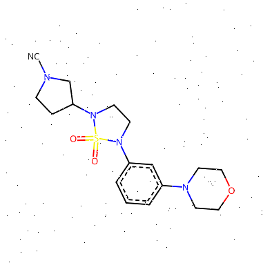 N#CN1CCC(N2CCN(c3cccc(N4CCOCC4)c3)S2(=O)=O)C1